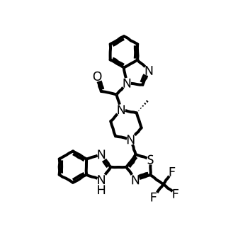 C[C@@H]1CN(c2sc(C(F)(F)F)nc2-c2nc3ccccc3[nH]2)CCN1C(C=O)n1cnc2ccccc21